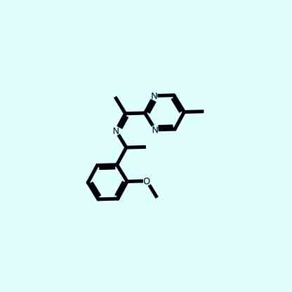 COc1ccccc1C(C)N=C(C)c1ncc(C)cn1